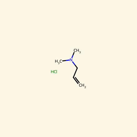 C=CCN(C)C.Cl